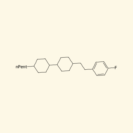 CCCCCC1CCC(C2CCC(CCc3ccc(F)cc3)CC2)CC1